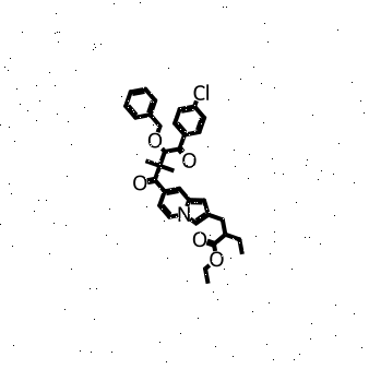 CCOC(=O)C(CC)Cc1cc2cc(C(=O)C(C)(C)C(OCc3ccccc3)C(=O)c3ccc(Cl)cc3)ccn2c1